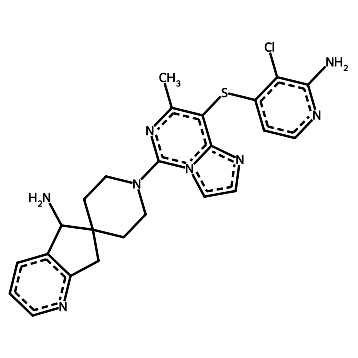 Cc1nc(N2CCC3(CC2)Cc2ncccc2C3N)n2ccnc2c1Sc1ccnc(N)c1Cl